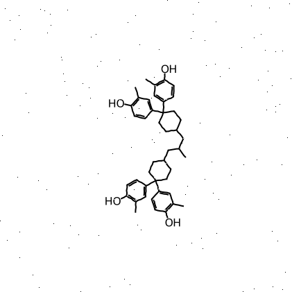 Cc1cc(C2(c3ccc(O)c(C)c3)CCC(CC(C)CC3CCC(c4ccc(O)c(C)c4)(c4ccc(O)c(C)c4)CC3)CC2)ccc1O